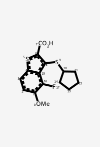 COc1ccc2sc(C(=O)O)c(SC3CCCC3)c2c1F